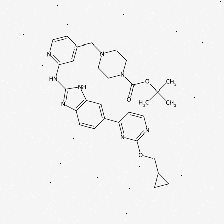 CC(C)(C)OC(=O)N1CCN(Cc2ccnc(Nc3nc4ccc(-c5ccnc(OCC6CC6)n5)cc4[nH]3)c2)CC1